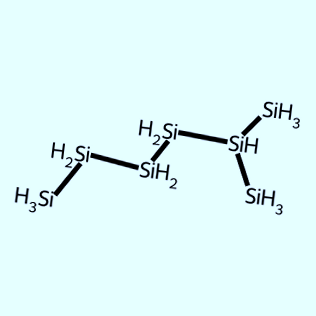 [SiH3][SiH2][SiH2][SiH2][SiH]([SiH3])[SiH3]